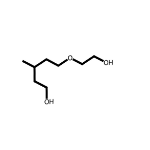 CC(CCO)CCOCCO